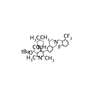 Cc1nc(C)c(C(OC(C)(C)C)C(=O)O)c(N2CCC(C)(C)CC2)c1-c1ccc2c(c1)CCN(Cc1c(F)cccc1C(F)(F)F)C2